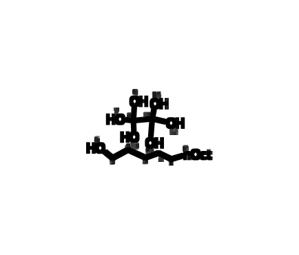 CCCCCCCCCCCCCO.OC(O)(O)C(O)(O)O